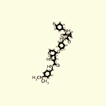 CN(C)c1ccc(CNC(=O)c2cc3c(Oc4ccc(NC(=O)C5(C(=O)Nc6ccc(F)cc6)CC5)cc4)ccnc3[nH]2)cc1